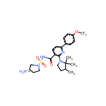 CC1CCN(c2nc(-c3ccc(OC(F)(F)F)cc3)ccc2C(=O)NS(=O)(=O)N2CC[C@H](N)C2)C1(C)C